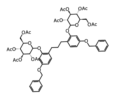 CC(=O)OC[C@H]1OC(Oc2cc(OCc3ccccc3)ccc2CCCc2ccc(OCc3ccccc3)cc2OC2O[C@H](COC(C)=O)[C@@H](OC(C)=O)[C@H](OC(C)=O)[C@H]2OC(C)=O)[C@H](OC(C)=O)[C@@H](OC(C)=O)[C@@H]1OC(C)=O